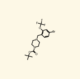 CC(C)(C)OC(=O)N1CCN(Cc2ccc(Br)cc2OC(F)(F)F)CC1